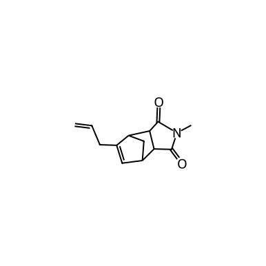 C=CCC1=CC2CC1C1C(=O)N(C)C(=O)C21